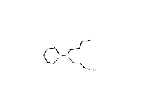 CCCCN(CCCC)N1CCCCC1